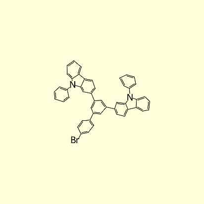 Brc1ccc(-c2cc(-c3ccc4c5ccccc5n(-c5ccccc5)c4c3)cc(-c3ccc4c5ccccc5n(-c5ccccc5)c4c3)c2)cc1